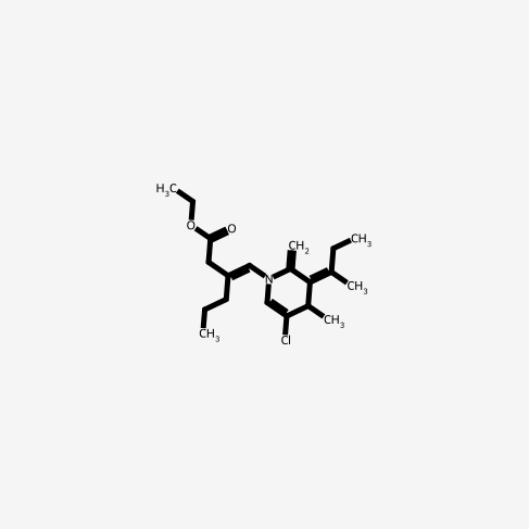 C=C1/C(=C(/C)CC)C(C)C(Cl)=CN1/C=C(\CCC)CC(=O)OCC